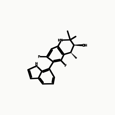 C[C@@H]1c2c(cc(F)c(-c3cccc4cc[nH]c34)c2F)NC(C)(C)[C@H]1O